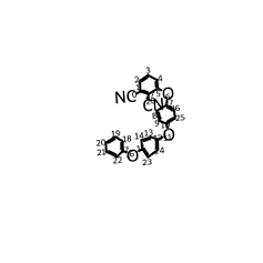 N#Cc1cccc(Oc2ccc(Oc3ccc(Oc4ccccc4)cc3)cc2)c1C#N